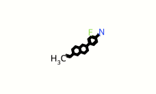 CC=CC1CCC2CC(c3ccc(C#N)c(F)c3)CCC2C1